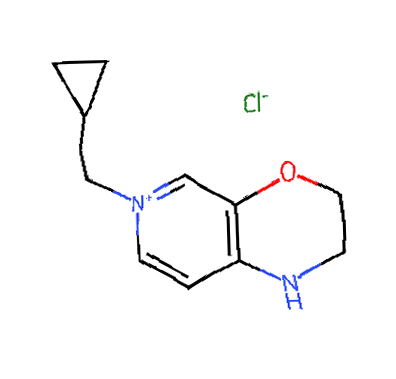 [Cl-].c1c[n+](CC2CC2)cc2c1NCCO2